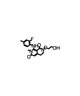 Cc1ccc(Nc2c3c(cc(=O)n2C)CCN(OCCO)C3=O)c(F)c1